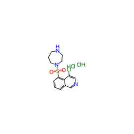 Cl.Cl.O=S(=O)(c1cccc2cncc(Cl)c12)N1CCCNCC1